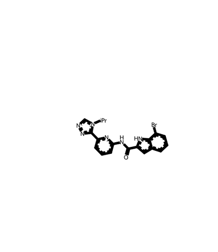 CC(C)n1cnnc1-c1cccc(NC(=O)c2cc3cccc(Br)c3[nH]2)n1